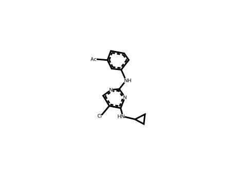 CC(=O)c1cccc(Nc2ncc(Cl)c(NC3CC3)n2)c1